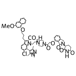 COc1cc(OCCCc2c(C(=O)O)n(CCN3CCN(C(=O)COc4cccc5c4C(=O)N(C4CCC(=O)NC4=O)C5)CC3)c3c(-c4c(C)nn(C)c4C)c(Cl)ccc23)c2ccccc2c1